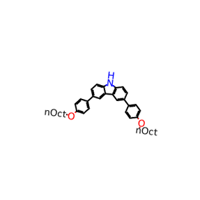 CCCCCCCCOc1ccc(-c2ccc3[nH]c4ccc(-c5ccc(OCCCCCCCC)cc5)cc4c3c2)cc1